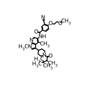 COCCOc1ccc(C(=O)Nc2cnc3c(c(C4CCN(C(=O)C(C)C(C)(C)C)CC4)cn3C)c2C)cc1C#N